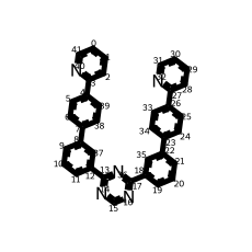 c1ccc(-c2ccc(-c3cccc(-c4ncnc(-c5cccc(-c6ccc(-c7ccccn7)cc6)c5)n4)c3)cc2)nc1